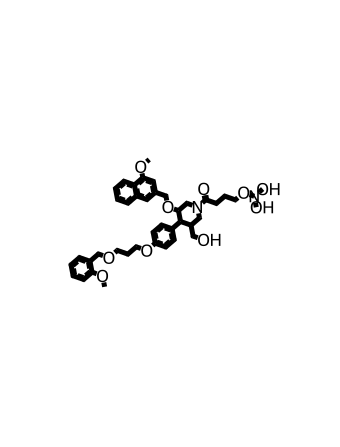 COc1ccccc1COCCCOc1ccc(C2C(CO)CN(C(=O)CCCON(O)O)CC2OCc2cc(OC)c3ccccc3c2)cc1